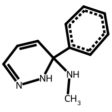 CNC1(c2ccccc2)C=CC=NN1